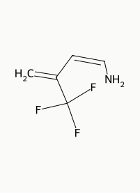 C=C(/C=C\N)C(F)(F)F